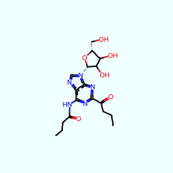 CCCC(=O)Nc1nc(C(=O)CCC)nc2c1ncn2[C@@H]1O[C@H](CO)C(O)C1O